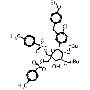 CCCCO[C@@H]1[C@@H](OCCCC)[C@H](O)C(COS(=O)(=O)c2ccc(C)cc2)(COS(=O)(=O)c2ccc(C)cc2)O[C@H]1c1ccc(Cl)c(Cc2ccc(OCC)cc2)c1